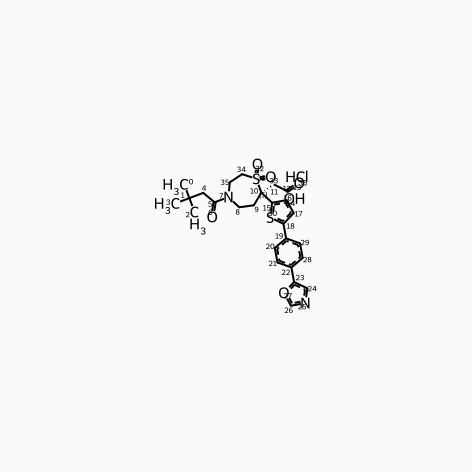 CC(C)(C)CC(=O)N1CC[C@](CC(=O)O)(c2ccc(-c3ccc(-c4cnco4)cc3)s2)S(=O)(=O)CC1.Cl